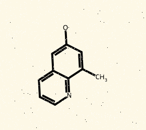 Cc1cc([O])cc2cccnc12